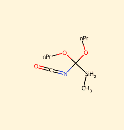 CCCOC(N=C=O)(OCCC)[SiH2]C